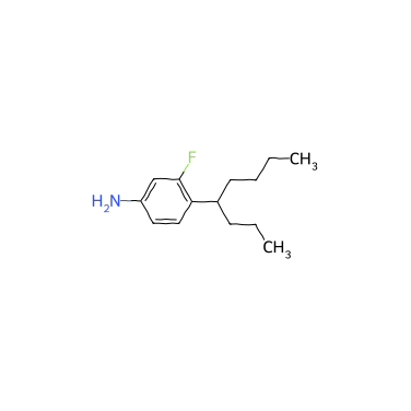 CCCCC(CCC)c1ccc(N)cc1F